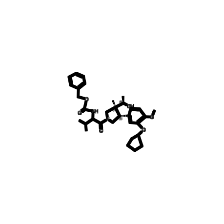 COc1ccc([C@@H]2CN(C(=O)C(NC(=O)OCc3ccccc3)C(C)C)C[C@@]2(C)[C@@H](C)O)cc1OC1CCCC1